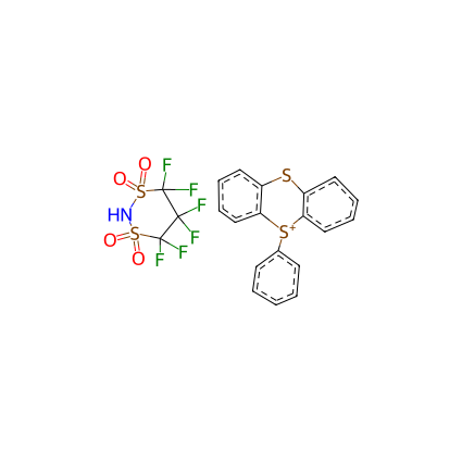 O=S1(=O)NS(=O)(=O)C(F)(F)C(F)(F)C1(F)F.c1ccc([S+]2c3ccccc3Sc3ccccc32)cc1